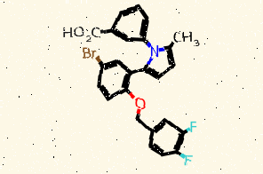 Cc1ccc(-c2cc(Br)ccc2OCc2ccc(F)c(F)c2)n1-c1cccc(C(=O)O)c1